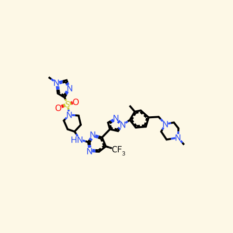 Cc1cc(CN2CCN(C)CC2)ccc1-n1cc(-c2nc(NC3CCN(S(=O)(=O)c4cn(C)cn4)CC3)ncc2C(F)(F)F)cn1